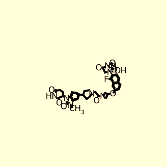 Cn1c(=O)n(C2CCC(=O)NC2=O)c2ccc(C3CCN(CC(=O)N4CC(Oc5ccc6cc(O)c(N7CC(=O)NS7(=O)=O)c(F)c6c5)C4)CC3)cc21